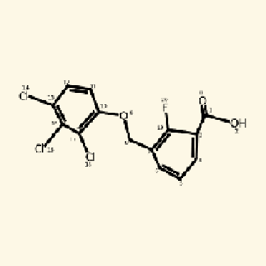 O=C(O)c1cccc(COc2ccc(Cl)c(Cl)c2Cl)c1F